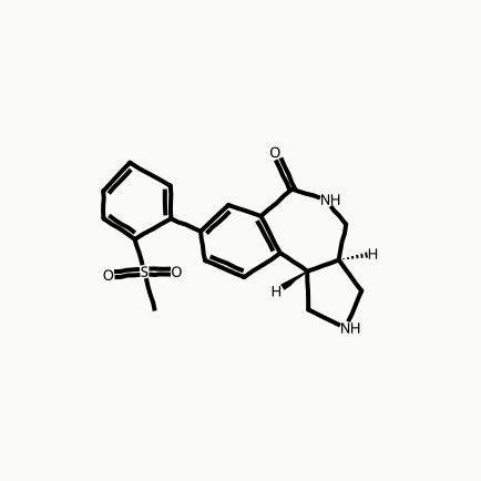 CS(=O)(=O)c1ccccc1-c1ccc2c(c1)C(=O)NC[C@H]1CNC[C@H]21